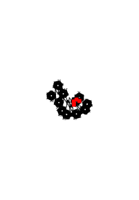 c1ccc(-c2nc(-n3c4ccccc4c4c3ccc3c5ccccc5n(-c5ccccc5)c34)nc(-n3c4c5ccccc5ccc4c4ccc5c6ccc7ccccc7c6n(-c6ccccc6)c5c43)n2)cc1